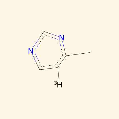 [3H]c1cncnc1C